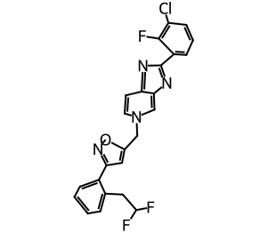 Fc1c(Cl)cccc1-c1nc2ccn(Cc3cc(-c4ccccc4CC(F)F)no3)cc-2n1